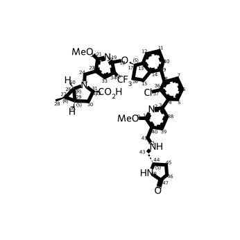 COc1nc(-c2cccc(-c3cccc4c3CC[C@@H]4Oc3nc(OC)c(CN4[C@@H]5[C@H](C)[C@@H]5C[C@H]4C(=O)O)cc3C(F)(F)F)c2Cl)ccc1CNC[C@@H]1CCC(=O)N1